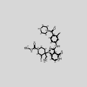 Cc1cc(Nc2nn(C3(CC#N)CCN(C(=O)OC(C)(C)C)CC3F)c3cc[nH]c(=O)c23)ccc1C(=O)N1CCSCC1